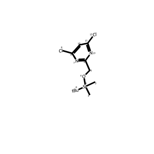 CC(C)(C)[Si](C)(C)OCc1nc(Cl)cc(Cl)n1